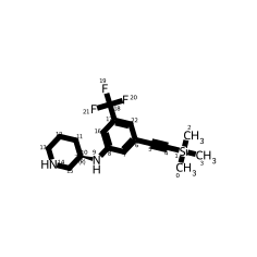 C[Si](C)(C)C#Cc1cc(N[C@@H]2CCCNC2)cc(C(F)(F)F)c1